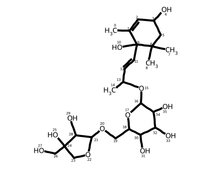 CC1=CC(O)CC(C)(C)C1(O)/C=C/C(C)OC1OC(COC2OCC(O)(CO)C2O)C(O)C(O)C1O